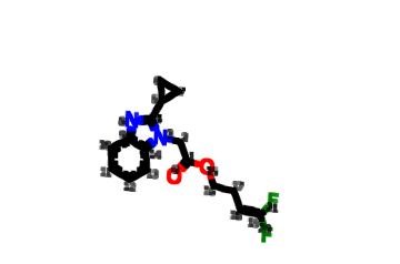 O=C(Cn1c(C2CC2)nc2ccccc21)OCCC=C(F)F